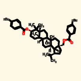 C=C(C)[C@@H]1CC[C@]2(COC(=O)c3ccc(CCCC)cc3)CC[C@]3(C)[C@H](CC[C@@H]4[C@@]5(C)CC[C@H](OC(=O)c6ccc(CCCC)cc6)C(C)(C)[C@@H]5CC[C@]43C)[C@@H]12